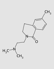 Cc1ccc2c(c1)CCN(CCN(C)C)C2=O